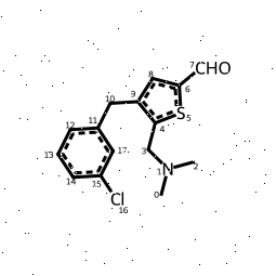 CN(C)Cc1sc(C=O)cc1Cc1cccc(Cl)c1